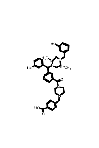 C[C@@H]1CN(C(c2cccc(O)c2)c2cccc(C(=O)N3CCN(Cc4ccc(C(=O)O)cc4)CC3)c2)[C@@H](C)CN1Cc1cccc(O)c1